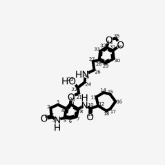 O=C1CCc2c(ccc(NC(=O)C3CCCCCC3)c2OCC(O)CNCCc2ccc3c(c2)OCO3)N1